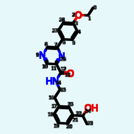 CCOc1ccc(-c2cncc(C(=O)NCCc3cccc(C(C)O)c3)n2)cc1